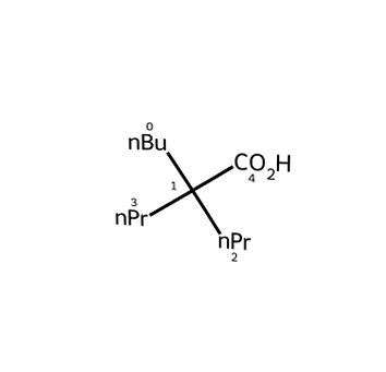 CCCCC(CCC)(CCC)C(=O)O